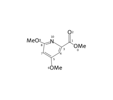 COC(=O)c1cc(OC)cc(OC)n1